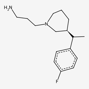 CC(c1ccc(F)cc1)[C@@H]1CCCN(CCCN)C1